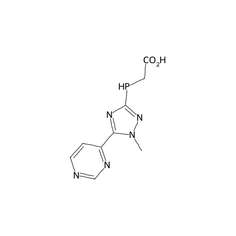 Cn1nc(PCC(=O)O)nc1-c1ccncn1